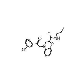 CCCNC(=O)C1CN(CC(=O)c2cccc(Cl)c2)c2ccccc2O1